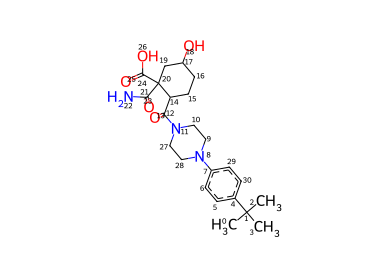 CC(C)(C)c1ccc(N2CCN(C(=O)C3CCC(O)CC3(C(N)=O)C(=O)O)CC2)cc1